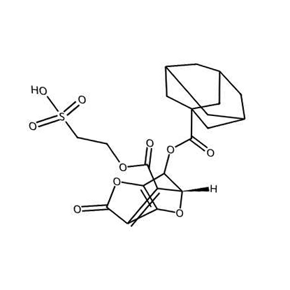 O=C1OC2=C3O[C@H](C(C(=O)OCCS(=O)(=O)O)=C13)C2OC(=O)C12CC3CC(CC(C3)C1)C2